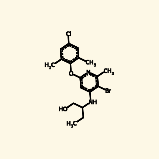 CCC(CO)Nc1cc(Oc2c(C)cc(Cl)cc2C)nc(C)c1Br